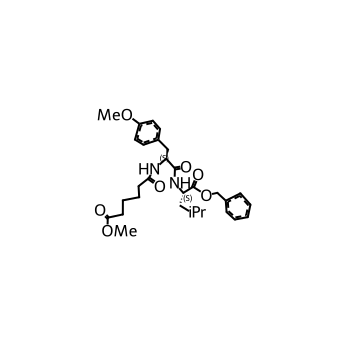 COC(=O)CCCCC(=O)N[C@@H](Cc1ccc(OC)cc1)C(=O)N[C@@H](CC(C)C)C(=O)OCc1ccccc1